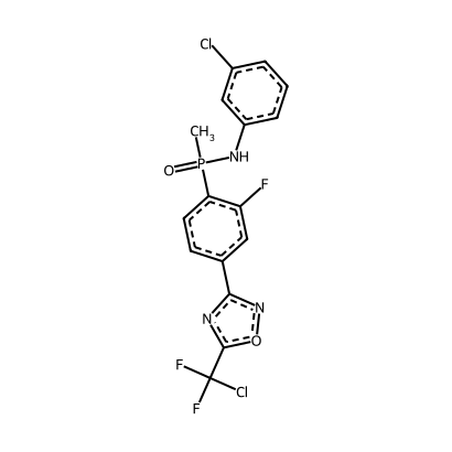 CP(=O)(Nc1cccc(Cl)c1)c1ccc(-c2noc(C(F)(F)Cl)n2)cc1F